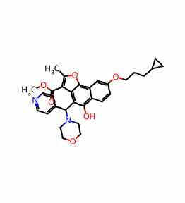 COC(=O)c1c(C)oc2c1c(C(c1ccncc1)N1CCOCC1)c(O)c1ccc(OCCCC3CC3)cc12